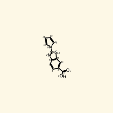 O=C(O)c1ccc2nc(-n3cccc3)sc2c1